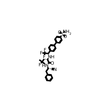 CC(C)(F)C[C@H](N[C@@H](c1ccc(-c2ccc(S(N)(=O)=O)cc2)cc1)C(F)(F)F)C(=O)N[C@H](C#N)Cc1ccccc1